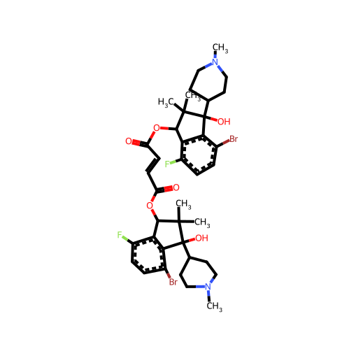 CN1CCC(C2(O)c3c(Br)ccc(F)c3C(OC(=O)/C=C/C(=O)OC3c4c(F)ccc(Br)c4C(O)(C4CCN(C)CC4)C3(C)C)C2(C)C)CC1